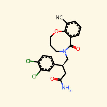 N#Cc1cccc2c1OCCCN(C[C@@H](CC(N)=O)c1ccc(Cl)c(Cl)c1)C2=O